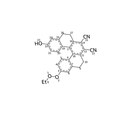 CCOOc1ccc2c(c1)CCc1c(C#N)c(C#N)c3c(c1-2)-c1ccc(O)cc1CC3